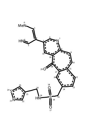 CN/C=C(\C=N)c1cnc2ccc3ccc(CS(=O)(=O)NCc4cnsc4)cc3c(=O)c2c1